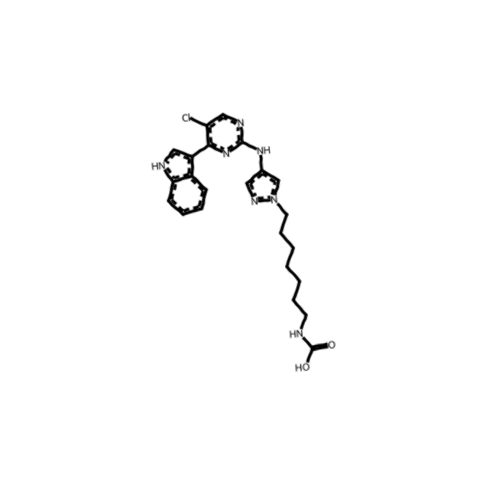 O=C(O)NCCCCCCCn1cc(Nc2ncc(Cl)c(-c3c[nH]c4ccccc34)n2)cn1